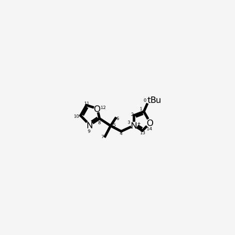 CC(C)(C)c1c[n+](CC(C)(C)c2ncco2)co1